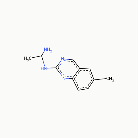 Cc1ccc2nc(NC(C)N)ncc2c1